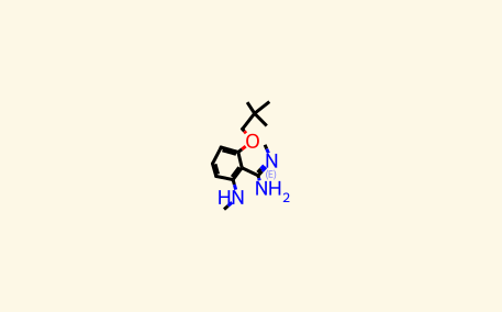 C/N=C(/N)c1c(NC)cccc1OCC(C)(C)C